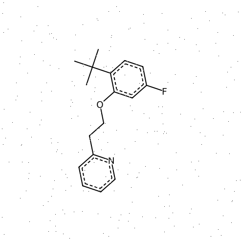 CC(C)(C)c1ccc(F)cc1OCCc1ccccn1